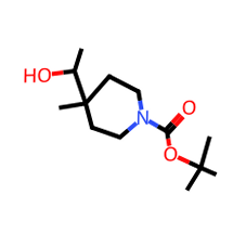 CC(O)C1(C)CCN(C(=O)OC(C)(C)C)CC1